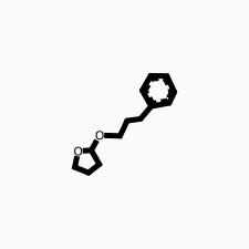 c1ccc(CCCOC2CCCO2)cc1